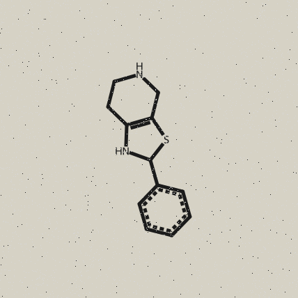 c1ccc(C2NC3=C(CNCC3)S2)cc1